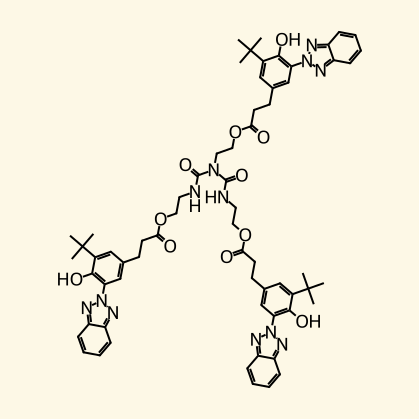 CC(C)(C)c1cc(CCC(=O)OCCNC(=O)N(CCOC(=O)CCc2cc(-n3nc4ccccc4n3)c(O)c(C(C)(C)C)c2)C(=O)NCCOC(=O)CCc2cc(-n3nc4ccccc4n3)c(O)c(C(C)(C)C)c2)cc(-n2nc3ccccc3n2)c1O